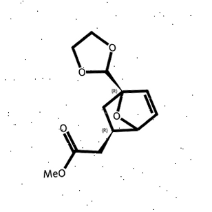 COC(=O)C[C@H]1C[C@]2(C3OCCO3)C=CC1O2